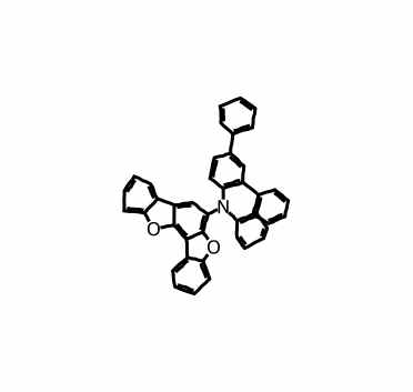 c1ccc(-c2ccc(N(c3ccccc3)c3cc4c5ccccc5oc4c4c3oc3ccccc34)c(-c3ccccc3)c2)cc1